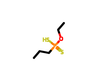 CCCP(=S)(S)OCC